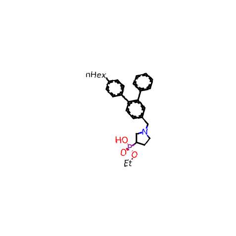 CCCCCCc1ccc(-c2ccc(CN3CCC(P(=O)(O)OCC)C3)cc2-c2ccccc2)cc1